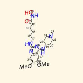 COc1cc2nc(NCCCCCC(=O)NO)nc(NC3CCN(C)CC3)c2cc1OC